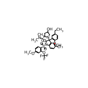 CCc1ccc(OC)c(C2(N3C[C@H](O)C[C@H]3C(=O)N(C)C)C(=O)N(S(=O)(=O)c3ccc(OC)cc3OC(F)(F)F)c3ccc(Cl)cc32)c1